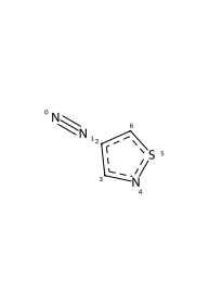 N#N.c1cnsc1